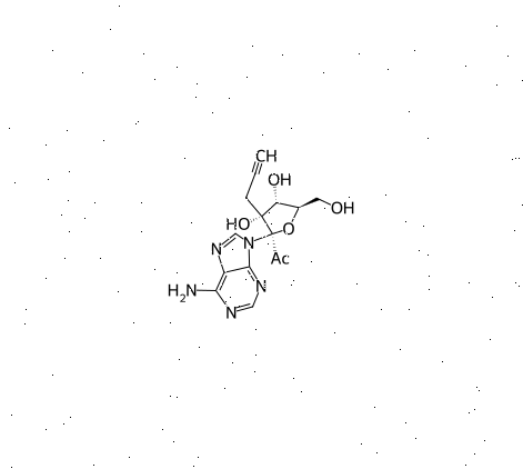 C#CC[C@@]1(O)[C@H](O)[C@@H](CO)O[C@@]1(C(C)=O)n1cnc2c(N)ncnc21